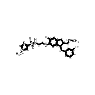 CNCC1Cc2cc(F)c(OCCNS(=O)(=O)c3cn(C)cn3)cc2C1Cc1cccc(F)c1